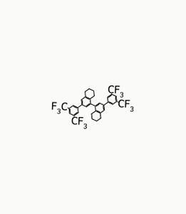 FC(F)(F)c1cc(-c2cc3c(c(-c4cc(-c5cc(C(F)(F)F)cc(C(F)(F)F)c5)cc5c4CCCC5)c2)CCCC3)cc(C(F)(F)F)c1